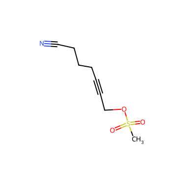 CS(=O)(=O)OCC#CCCCC#N